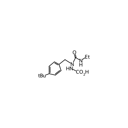 CCNC(=O)N(Cc1ccc(C(C)(C)C)cc1)NC(=O)O